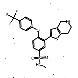 CNS(=O)(=O)c1ccc(Oc2ccc(C(F)(F)F)cc2)c(-c2cc3c(s2)CCNC3)c1